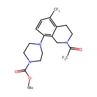 CC(C)(C)OC(=O)N1CCN(c2ccc(C(F)(F)F)c3c2CN(C(=O)C(F)(F)F)CC3)CC1